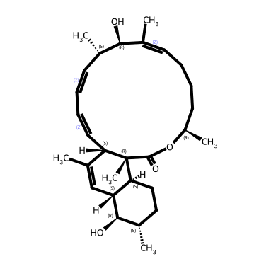 CC1=C[C@H]2[C@H](O)[C@@H](C)CC[C@@H]2[C@@]2(C)C(=O)O[C@H](C)CCC/C=C(/C)[C@H](O)[C@@H](C)/C=C\C=C/[C@@H]12